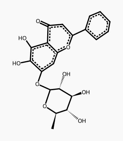 C[C@H]1OC(Oc2cc3oc(-c4ccccc4)cc(=O)c3c(O)c2O)[C@H](O)[C@@H](O)[C@@H]1O